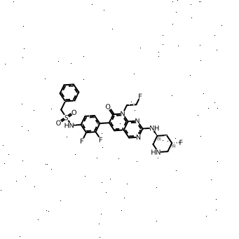 O=c1c(-c2ccc(NS(=O)(=O)Cc3ccccc3)c(F)c2F)cc2cnc(N[C@@H]3CNC[C@@H](F)C3)nc2n1CCF